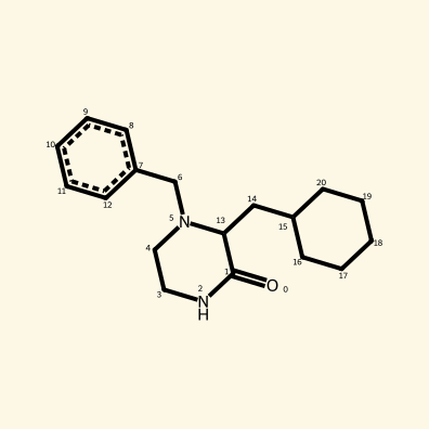 O=C1NCCN(Cc2ccccc2)C1CC1CCCCC1